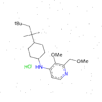 COCc1nccc(NC2CCC(C(C)(C)CC(C)(C)C)CC2)c1OC.Cl